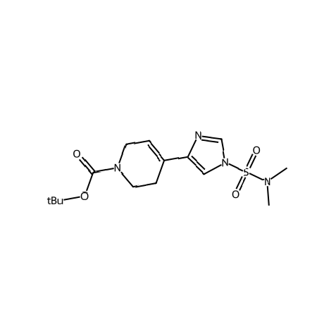 CN(C)S(=O)(=O)n1cnc(C2=CCN(C(=O)OC(C)(C)C)CC2)c1